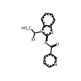 CCC(C(=O)O)n1/c(=N/C(=O)c2cccnc2)sc2ccccc21